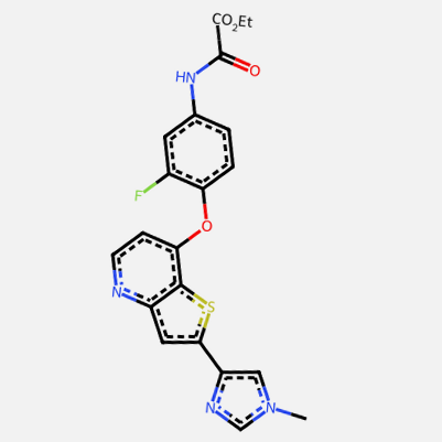 CCOC(=O)C(=O)Nc1ccc(Oc2ccnc3cc(-c4cn(C)cn4)sc23)c(F)c1